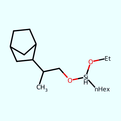 CCCCCC[SiH](OCC)OCC(C)C1CC2CCC1C2